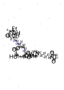 CC[C@H](O)[C@@H](C)[C@H]1O[C@@H]1CC(C)(O)/C=C/C=C(\C)[C@H]1OC(=O)C[C@H](O)CC[C@@](C)(OC)[C@@H](OC(=O)N2CCN(CCCCCCN3C(=O)C=CC3=O)CC2)/C=C/[C@@H]1C